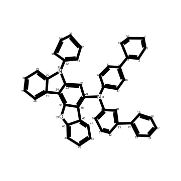 c1ccc(-c2ccc(N(c3cccc(-c4ccccc4)c3)c3cc4c(c5ccccc5n4-c4ccccc4)c4oc5ccccc5c34)cc2)cc1